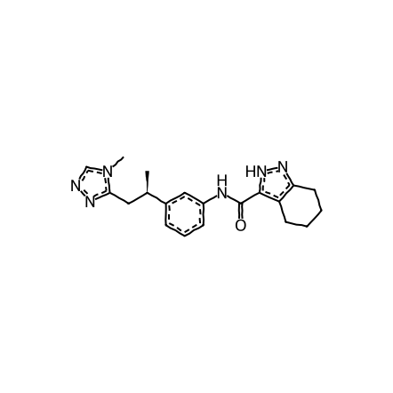 C[C@H](Cc1nncn1C)c1cccc(NC(=O)c2[nH]nc3c2CCCC3)c1